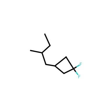 CCC(C)CC1CC(F)(F)C1